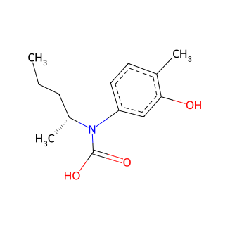 CCC[C@@H](C)N(C(=O)O)c1ccc(C)c(O)c1